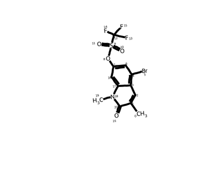 Cc1cc2c(Br)cc(OS(=O)(=O)C(F)(F)F)cc2n(C)c1=O